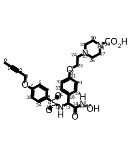 CC#CCOc1ccc(S(=O)(=O)NC(C(=O)NO)c2ccc(OCCN3CCN(C(=O)O)CC3)cc2)cc1